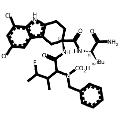 CC[C@H](C)[C@H](NC(=O)[C@@]1(NC(=O)C(C(C)C(C)F)N(Cc2ccccc2)C(=O)O)CCc2[nH]c3c(Cl)cc(Cl)cc3c2C1)C(N)=O